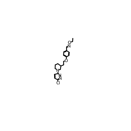 CCON=Cc1ccc(OCCC2CCCN(c3ccc(Cl)nn3)C2)cc1